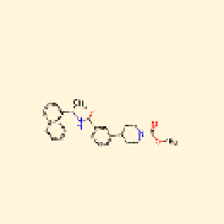 C[C@@H](NC(=O)c1cccc(C2CCN(C(=O)OC(C)(C)C)CC2)c1)c1cccc2ccccc12